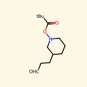 CC(C)(C)C(=O)ON1CCCC(CCC=O)C1